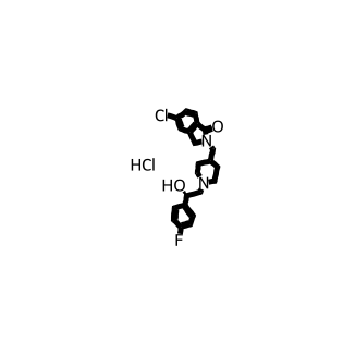 Cl.O=C1c2ccc(Cl)cc2CN1CC1CCN(C[C@H](O)c2ccc(F)cc2)CC1